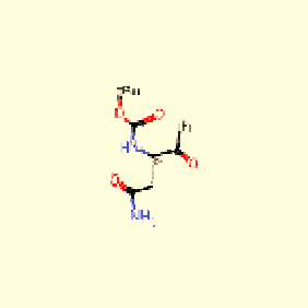 CC(C)C(=O)[C@H](CC(N)=O)NC(=O)OC(C)(C)C